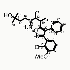 COc1cccc(-c2noc(C(C)C(C)N(N)CCC(C)(C)O)c2-c2ncccn2)c1Cl